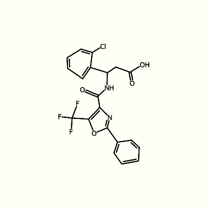 O=C(O)CC(NC(=O)c1nc(-c2ccccc2)oc1C(F)(F)F)c1ccccc1Cl